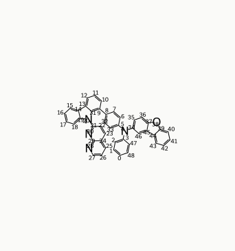 c1ccc(N(c2ccc(-c3cccc4c5ccccc5n(-c5ccc6cccnc6n5)c34)cc2)c2ccc3oc4ccccc4c3c2)cc1